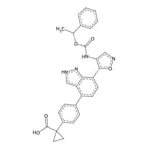 CC(OC(=O)Nc1cnoc1-c1ccc(-c2ccc(C3(C(=O)O)CC3)cc2)c2c[nH]nc12)c1ccccc1